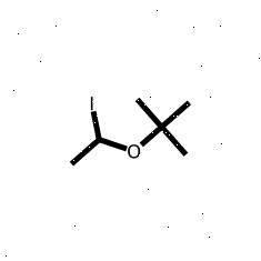 CC(I)OC(C)(C)C